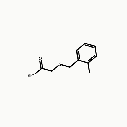 CCCC(=O)CSCc1ccccc1C